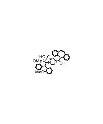 COc1ccccc1C(C(=O)N1CCN(C(O)N2c3ccccc3C=Cc3ccccc32)C[C@H]1C(=O)O)c1ccccc1OC